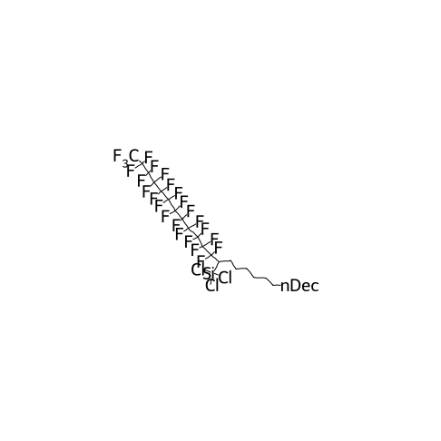 CCCCCCCCCCCCCCCCC(C(F)(F)C(F)(F)C(F)(F)C(F)(F)C(F)(F)C(F)(F)C(F)(F)C(F)(F)C(F)(F)C(F)(F)C(F)(F)C(F)(F)F)[Si](Cl)(Cl)Cl